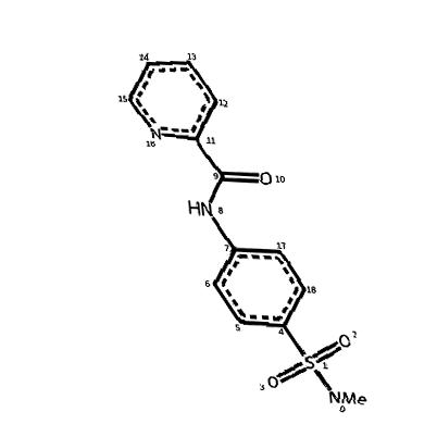 CNS(=O)(=O)c1ccc(NC(=O)c2ccccn2)cc1